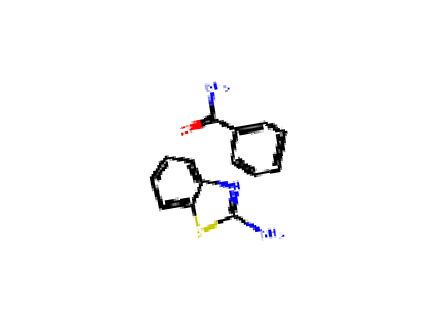 NC(=O)c1ccccc1.Nc1nc2ccccc2s1